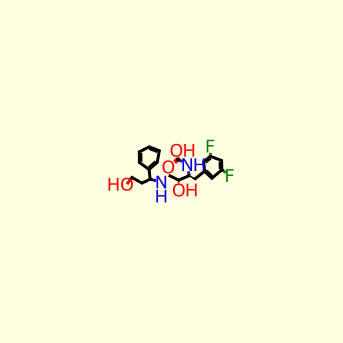 O=C(O)N[C@@H](Cc1cc(F)cc(F)c1)[C@H](O)CNC(CCO)c1ccccc1